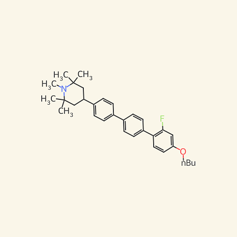 CCCCOc1ccc(-c2ccc(-c3ccc(C4CC(C)(C)N(C)C(C)(C)C4)cc3)cc2)c(F)c1